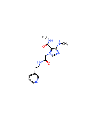 CNC(=O)c1c(NC)ncn1CC(=O)NCCc1cccnc1